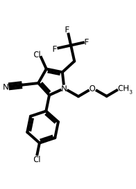 CCOCn1c(CC(F)(F)F)c(Cl)c(C#N)c1-c1ccc(Cl)cc1